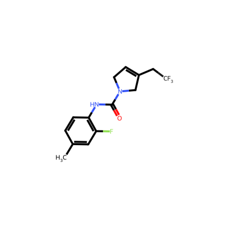 Cc1ccc(NC(=O)N2CC=C(CC(F)(F)F)C2)c(F)c1